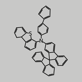 C1=CCC2C(=C1)Sc1c2cccc1N(c1ccc(-c2ccccc2)cc1)c1ccc2c(c1)C1(c3ccccc3-c3ccccc31)c1ccccc1-2